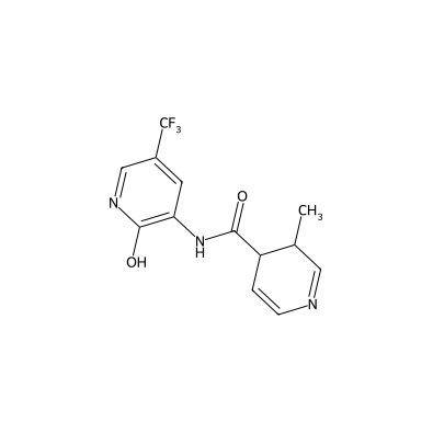 CC1C=NC=CC1C(=O)Nc1cc(C(F)(F)F)cnc1O